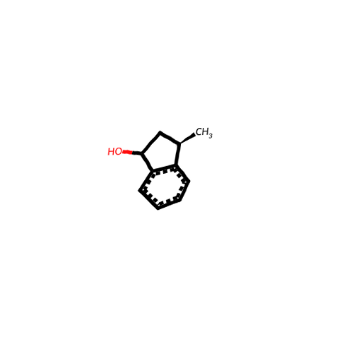 C[C@@H]1CC(O)c2ccccc21